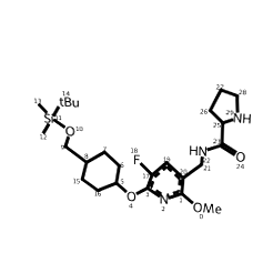 COc1nc(OC2CCC(CO[Si](C)(C)C(C)(C)C)CC2)c(F)cc1CNC(=O)C1CCCN1